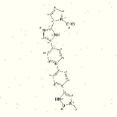 CN1C=C(c2ccc(-c3ccc(-c4cnc(C5C=CCN5C=O)[nH]4)cc3)cc2)NO1